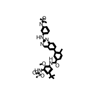 COc1c(NC(=O)c2ccc(C)c(-c3ccc4nc(Nc5cccc(N=S(C)(C)=O)c5)ncc4c3)c2)cc(C(C)(C)C)cc1NS(C)(=O)=O